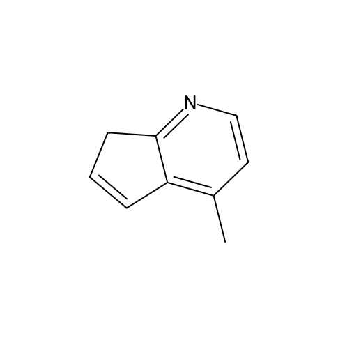 Cc1ccnc2c1C=CC2